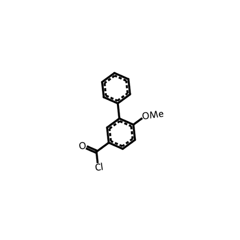 COc1ccc(C(=O)Cl)cc1-c1ccccc1